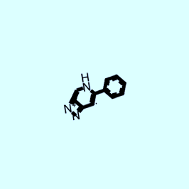 [C]1=C(c2ccccc2)NC2=[N+]3N=C1C23